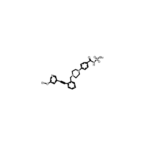 CCOc1cncc(C#Cc2ccccc2CN2CCN(c3ccc(C(=O)NS(=O)(=O)C(C)(C)C)cc3)CC2)c1